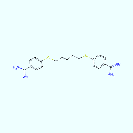 N=C(N)c1ccc(SCCCCCSc2ccc(C(=N)N)cc2)cc1